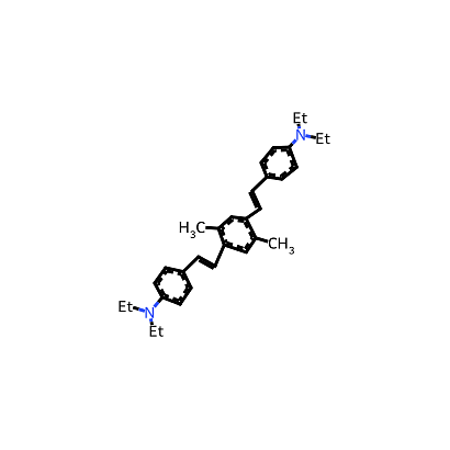 CCN(CC)c1ccc(C=Cc2cc(C)c(C=Cc3ccc(N(CC)CC)cc3)cc2C)cc1